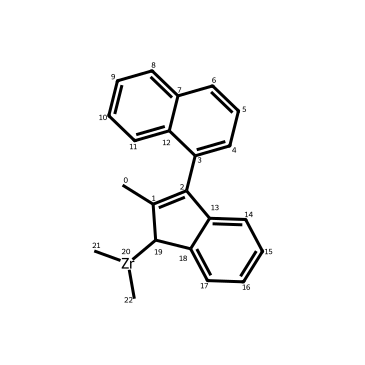 CC1=C(c2cccc3ccccc23)c2ccccc2[CH]1[Zr]([CH3])[CH3]